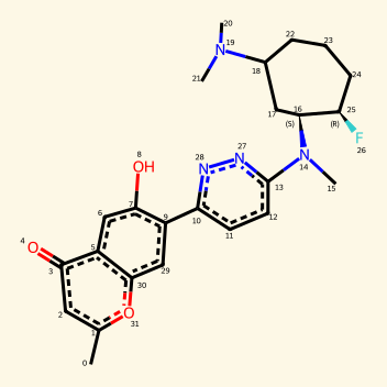 Cc1cc(=O)c2cc(O)c(-c3ccc(N(C)[C@H]4CC(N(C)C)CCC[C@H]4F)nn3)cc2o1